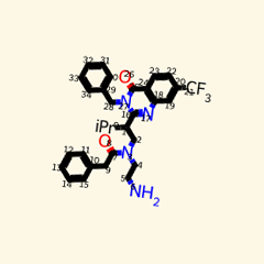 CC(C)C(CN(CCN)C(=O)Cc1ccccc1)c1nc2cc(C(F)(F)F)ccc2c(=O)n1Cc1ccccc1